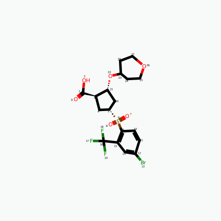 O=C(O)[C@@H]1C[C@@H](S(=O)(=O)c2ccc(Br)cc2C(F)(F)F)C[C@H]1OC1CCOCC1